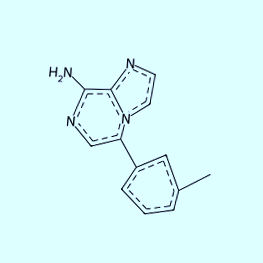 Cc1cccc(-c2cnc(N)c3nccn23)c1